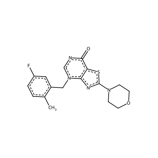 Cc1ccc(F)cc1Cn1cnc(=O)c2sc(N3CCOCC3)nc21